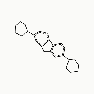 c1cc2c(cc1C1CCCCC1)Cc1cc(C3CCCCC3)ccc1-2